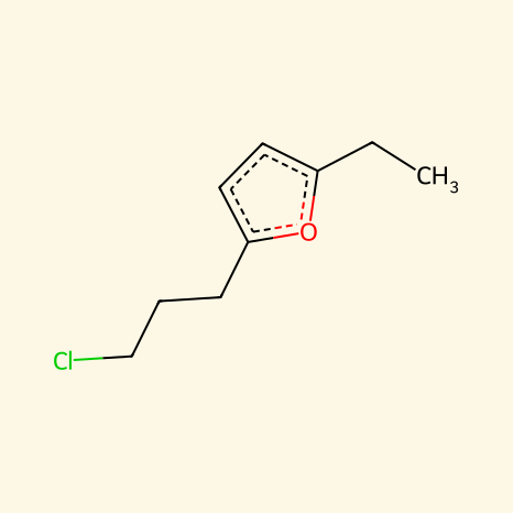 CCc1ccc(CCCCl)o1